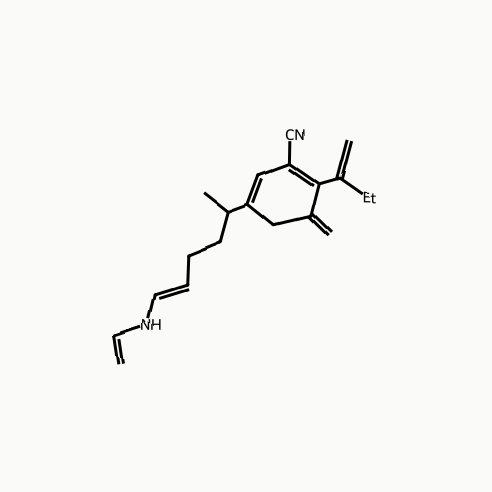 C=CN/C=C/CCC(C)C1=CC(C#N)=C(C(=C)CC)C(=C)C1